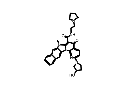 Cn1c2cc3ccccc3cc2n2c3nc(N4CCC(O)C4)ccc3c(=O)c(C(=O)NCCN3CCCC3)c12